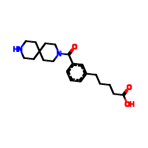 O=C(O)CCCCc1cccc(C(=O)N2CCC3(CCNCC3)CC2)c1